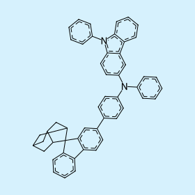 c1ccc(N(c2ccc(-c3ccc4c(c3)C3(c5ccccc5-4)C4CC5CC(C4)C3C5)cc2)c2ccc3c(c2)c2ccccc2n3-c2ccccc2)cc1